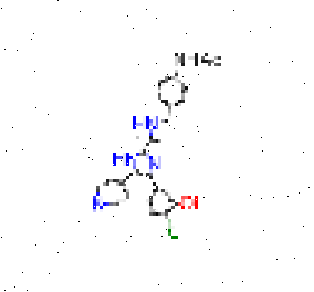 CC(=O)Nc1ccc(CNC(C)(C)c2nc(-c3ccc(Cl)c(O)c3)c(-c3ccncc3)[nH]2)cc1